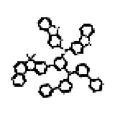 CC1(C)c2cc(-c3cc(N(c4cccc(-c5ccccc5)c4)c4cccc(-c5ccccc5)c4)cc(N(c4ccc5c(c4)oc4ccccc45)c4ccc5sc6ccccc6c5c4)c3)ccc2-c2c1ccc1ccccc21